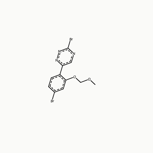 COCOc1cc(Br)ccc1-c1cnc(Br)nn1